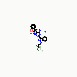 CC1(c2ccccc2)C(=O)Nc2nc(-c3nn(CCC(F)(F)C(F)(F)F)c4c3CCCC4)nc(N)c21